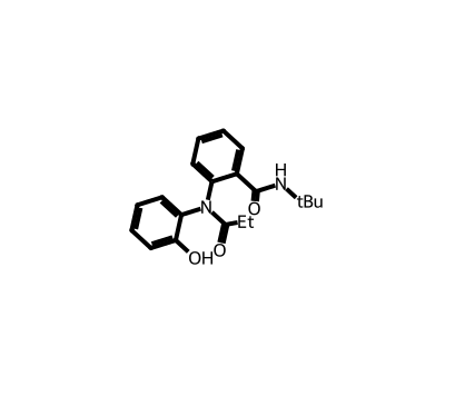 CCC(=O)N(c1ccccc1O)c1ccccc1C(=O)NC(C)(C)C